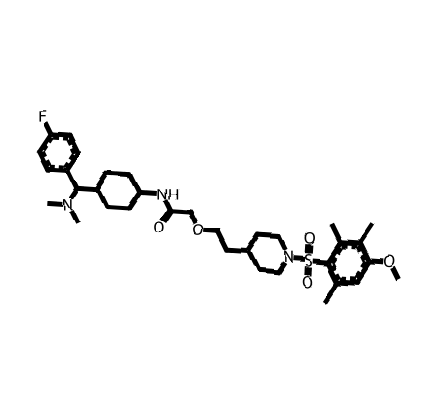 COc1cc(C)c(S(=O)(=O)N2CCC(CCOCC(=O)NC3CCC(C(c4ccc(F)cc4)N(C)C)CC3)CC2)c(C)c1C